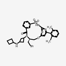 Cc1cccc(C)c1-c1cc2nc(n1)NS(=O)(=O)c1cccc(c1)C(=O)N(C1CC(NC3CCC3)C1)[C@H](CC(C)C)CO2